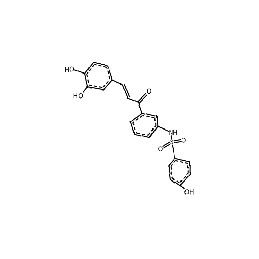 O=C(C=Cc1ccc(O)c(O)c1)c1cccc(NS(=O)(=O)c2ccc(O)cc2)c1